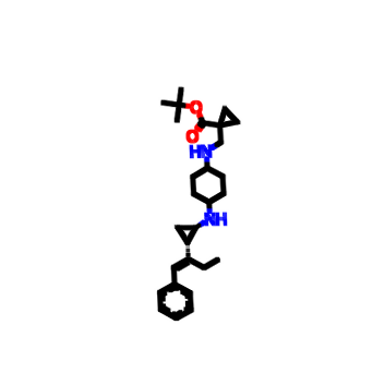 CC/C(=C\c1ccccc1)[C@@H]1C[C@H]1NC1CCC(NCC2(C(=O)OC(C)(C)C)CC2)CC1